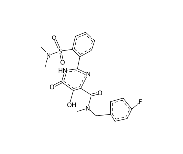 CN(Cc1ccc(F)cc1)C(=O)c1nc(-c2ccccc2S(=O)(=O)N(C)C)[nH]c(=O)c1O